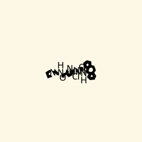 O=C(NNc1ncc(C(=O)NCCN2CCCC2)cc1Cl)NC1c2ccccc2CCc2ccccc21